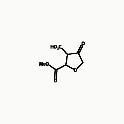 COC(=O)C1OCC(=O)C1C(=O)O